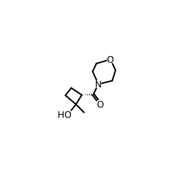 CC1(O)CC[C@@H]1C(=O)N1CCOCC1